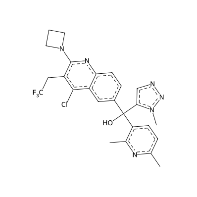 Cc1ccc(C(O)(c2ccc3nc(N4CCC4)c(CC(F)(F)F)c(Cl)c3c2)c2cnnn2C)c(C)n1